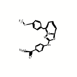 CNC(=O)c1ccc(Nc2nc3cccc(-c4ccc(OC(F)(F)F)cc4)n3n2)cc1